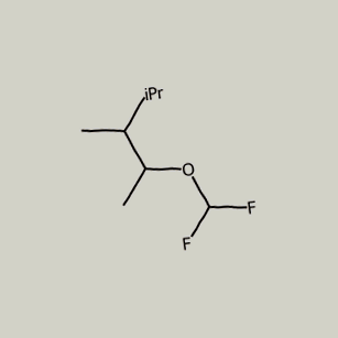 CC(C)C(C)C(C)OC(F)F